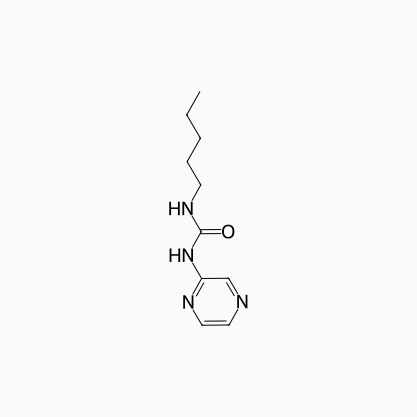 CCCCCNC(=O)Nc1cnccn1